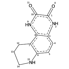 O=c1[nH]c2ccc3c(c2[nH]c1=O)CCCN3